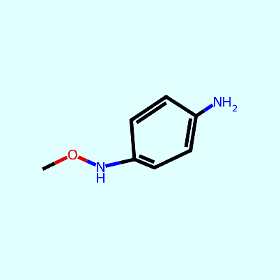 CONc1ccc(N)cc1